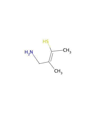 C/C(S)=C(\C)CN